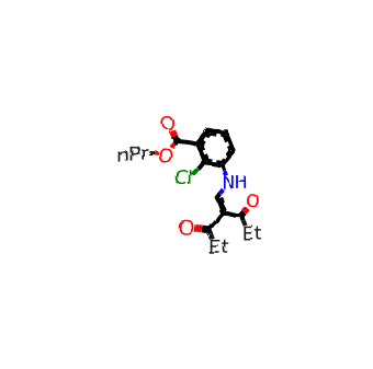 CCCOC(=O)c1cccc(NC=C(C(=O)CC)C(=O)CC)c1Cl